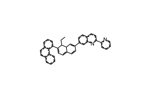 CCC1C(c2cccc3ccc4ccccc4c23)=CC=C2C=CC(c3ccc4ccc(-c5ccccn5)nc4c3)=CC21